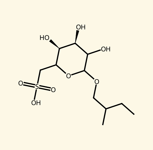 CCC(C)COC1OC(CS(=O)(=O)O)[C@@H](O)[C@@H](O)C1O